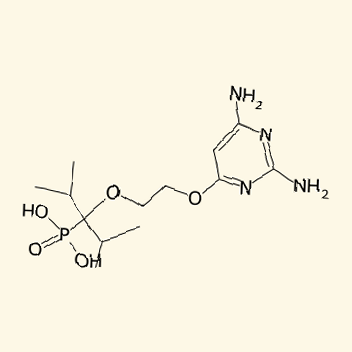 CC(C)C(OCCOc1cc(N)nc(N)n1)(C(C)C)P(=O)(O)O